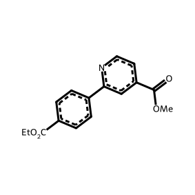 CCOC(=O)c1ccc(-c2cc(C(=O)OC)ccn2)cc1